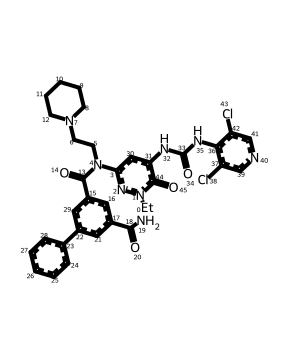 CCn1nc(N(CCN2CCCCC2)C(=O)c2cc(C(N)=O)cc(-c3ccccc3)c2)cc(NC(=O)Nc2c(Cl)cncc2Cl)c1=O